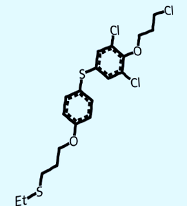 CCSCCCOc1ccc(Sc2cc(Cl)c(OCCCCl)c(Cl)c2)cc1